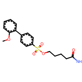 COc1ccccc1-c1ccc(S(=O)(=O)OCCCCC(N)=O)cc1